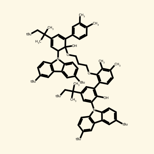 Cc1ccc(C2=CC(C(C)(C)CC(C)(C)C)=CC(n3c4ccc(C(C)(C)C)cc4c4cc(C(C)(C)C)ccc43)C2(O)OCCCOc2c(-c3cc(C(C)(C)CC(C)(C)C)cc(-n4c5ccc(C(C)(C)C)cc5c5cc(C(C)(C)C)ccc54)c3O)ccc(C)c2C)cc1C